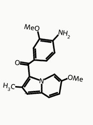 COc1ccc2[c]c(C)c(C(=O)c3ccc(N)c(OC)c3)n2c1